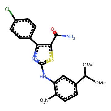 COC(OC)c1ccc([N+](=O)[O-])c(Nc2nc(-c3ccc(Cl)cc3)c(C(N)=O)s2)c1